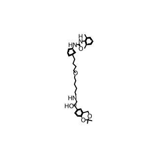 Cc1cccc(C)c1NC(=O)Nc1cccc(CCCCOCCCCCCNC[C@H](O)c2ccc3c(c2)COC(C)(C)O3)c1